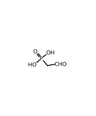 O=[C]CP(=O)(O)O